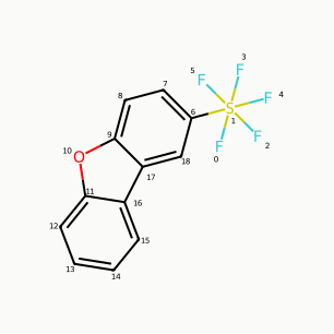 FS(F)(F)(F)(F)c1ccc2oc3ccccc3c2c1